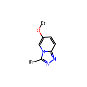 CCOc1ccc2nnc(C(C)C)n2c1